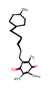 COC1=C(OC)C(=O)C(CCCCCC2CCC(OC(C)=O)CC2)=C(C)C1=O